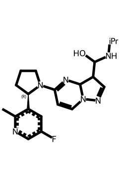 Cc1ncc(F)cc1[C@H]1CCCN1C1=NC2C(C(O)NC(C)C)C=NN2C=C1